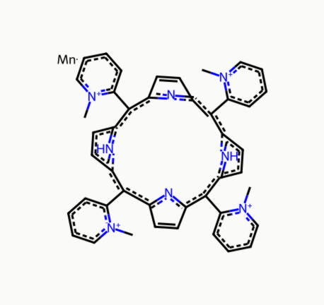 C[n+]1ccccc1-c1c2nc(c(-c3cccc[n+]3C)c3ccc([nH]3)c(-c3cccc[n+]3C)c3nc(c(-c4cccc[n+]4C)c4ccc1[nH]4)C=C3)C=C2.[Mn]